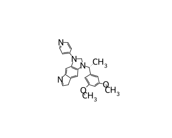 COc1cc(OC)cc([C@@H](C)N2CN(c3ccncc3)c3cc4c(cc32)CC=N4)c1